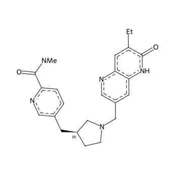 CCc1cc2ncc(CN3CC[C@@H](Cc4ccc(C(=O)NC)nc4)C3)cc2[nH]c1=O